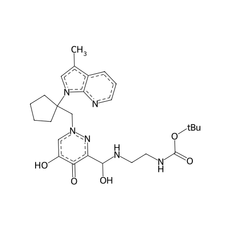 Cc1cn(C2(Cn3cc(O)c(=O)c(C(O)NCCNC(=O)OC(C)(C)C)n3)CCCC2)c2ncccc12